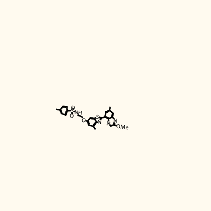 COc1cnc2c(-c3nc4c(C)cc(OCCNS(=O)(=O)c5ccc(C)cc5)cc4s3)cc(C)cc2n1